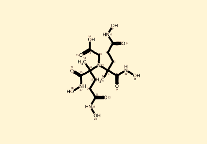 CC(CCC(=O)NO)(C(=O)NO)N(CC(=O)O)C(C)(CCC(=O)NO)C(=O)NO